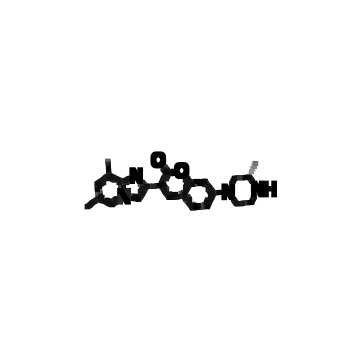 Cc1cc(C)c2nc(-c3cc4ccc(N5CCN[C@@H](C)C5)cc4oc3=O)cn2c1